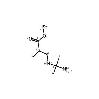 CC(C)OC(=O)C(C)CNC(C)(C)N